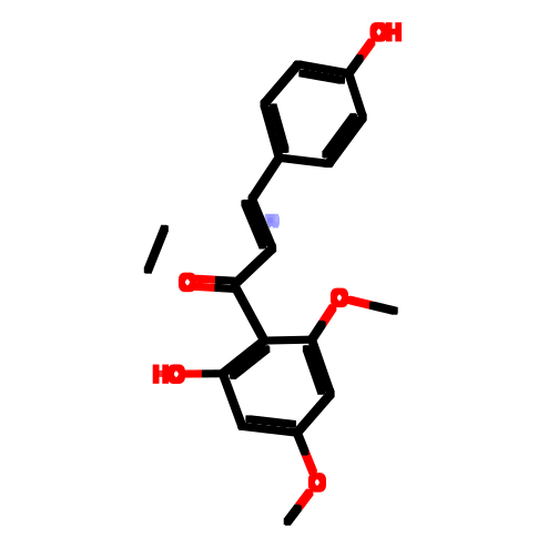 CC.COc1cc(O)c(C(=O)/C=C/c2ccc(O)cc2)c(OC)c1